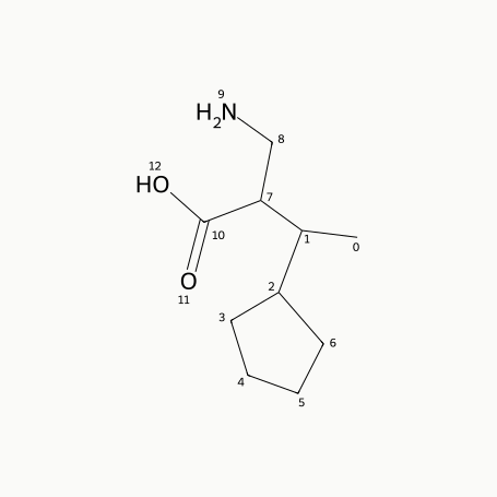 CC(C1CCCC1)C(CN)C(=O)O